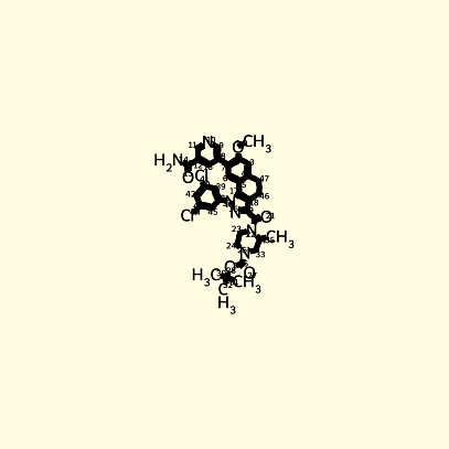 COc1cc2c(cc1-c1cncc(C(N)=O)c1)-c1c(c(C(=O)N3CCN(C(=O)OC(C)(C)C)CC3C)nn1-c1cc(Cl)cc(Cl)c1)CC2